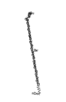 CCCCCCCCCCCCCCCCCCOCCOCCOCCOCCOCCOCCOCCOCCOCCOCCOCCOCCOCCOCCOCCOCCOCCOCCOCCOCCOC(=O)CCN1CC[N+](C)(CCCC)CC1.[Br-]